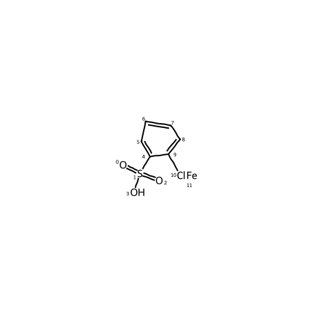 O=S(=O)(O)c1ccccc1Cl.[Fe]